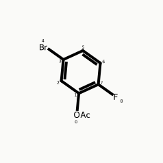 CC(=O)Oc1cc(Br)ccc1F